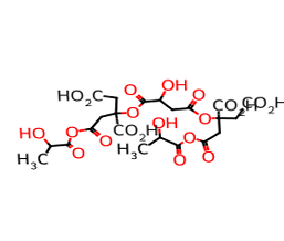 CC(O)C(=O)OC(=O)CC(CC(=O)O)(OC(=O)CC(O)C(=O)OC(CC(=O)O)(CC(=O)OC(=O)C(C)O)C(=O)O)C(=O)O